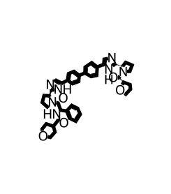 O=C(N[C@@H](C(=O)N1CCC[C@H]1c1ncc(-c2ccc(-c3ccc(-c4cnc([C@@H]5CCCN5C(=O)[C@@H]5CCCO5)[nH]4)cc3)cc2)[nH]1)c1ccccc1)C1CCOCC1